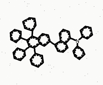 c1ccc(-c2c(-c3ccccc3)c(-c3ccccc3)c3cc(-c4cccc5c(N(c6ccccc6)c6ccccc6)cccc45)ccc3c2-c2ccccc2)cc1